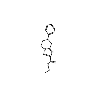 CCOC(=O)c1cn2c(n1)CC(c1ccccc1)CC2